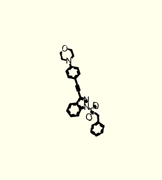 O=S(=O)(Cc1ccccc1)n1nc(C#Cc2ccc(N3CCOCC3)cc2)c2ccccc21